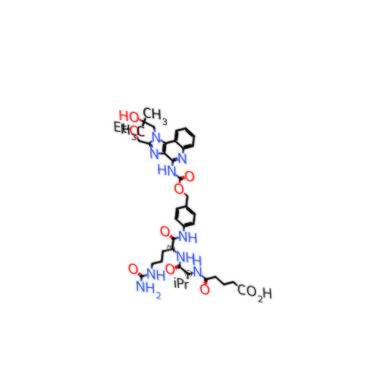 CCOCc1nc2c(NC(=O)OCc3ccc(NC(=O)[C@H](CCCNC(N)=O)NC(=O)[C@@H](NC(=O)CCCC(=O)O)C(C)C)cc3)nc3ccccc3c2n1CC(C)(C)O